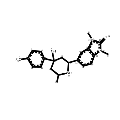 CC1CC(O)(c2ccc(C(F)(F)F)cc2)CC(c2ccc3c(c2)n(C)c(=O)n3C)N1